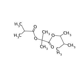 CC(C)C(=O)OC(C)(C)C(=O)OC(C)C(C)C